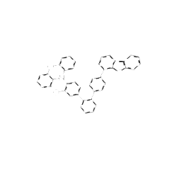 c1ccc2c(c1)Oc1cccc3c1N2c1ccc(-c2ccccc2-c2ccc(-c4cccc5c4sc4ccccc45)cc2)cc1O3